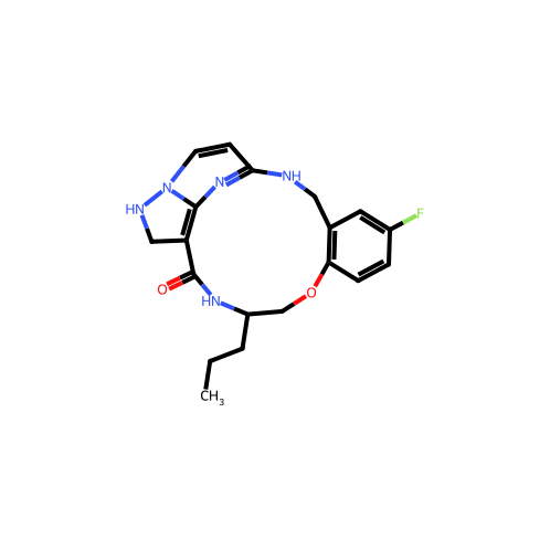 CCCC1COc2ccc(F)cc2CNC2=NC3=C(CNN3C=C2)C(=O)N1